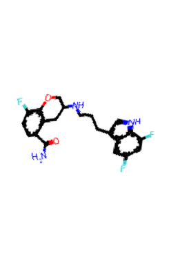 NC(=O)c1ccc(F)c2c1CC(NCCCc1c[nH]c3c(F)cc(F)cc13)CO2